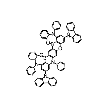 c1ccc(N2c3ccccc3OB3c4cc5c(cc4Oc4cc(-n6c7ccccc7c7ccccc76)cc2c43)N(c2ccccc2)c2cc(-n3c4ccccc4c4ccccc43)cc3c2B5Oc2ccccc2N3c2ccccc2)cc1